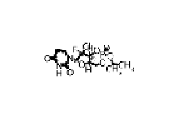 CC(C)OP1(=O)OC[C@H]2O[C@@H](n3ccc(=O)[nH]c3=O)[C@](F)(Cl)[C@@H]2O1